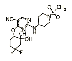 C[C@@]1(O)CC(F)(F)CC[C@@H]1Oc1nc(NC2CCN(S(C)(=O)=O)CC2)ncc1C#N